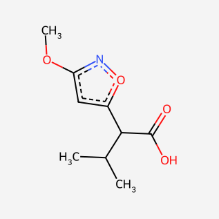 COc1cc(C(C(=O)O)C(C)C)on1